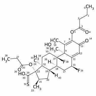 CCCC(=O)OC1=C(C)[C@@]2(C)C(=CC1=O)[C@@H](F)C[C@H]1[C@@H]3C[C@@H](C)[C@@](OC(=O)CC)(C(O)=S)[C@@]3(C)C[C@H](O)[C@@]12F